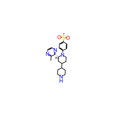 Cc1nccnc1[C@H]1CC(C2CCNCC2)CCN1c1ccc(S(C)(=O)=O)cc1